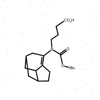 CC(C)(C)OC(=O)N(CCCC(=O)O)C1=C2CCC3CC(C1)CC23